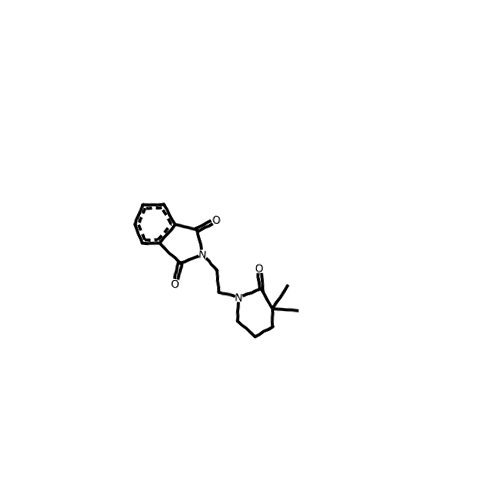 CC1(C)CCCN(CCN2C(=O)c3ccccc3C2=O)C1=O